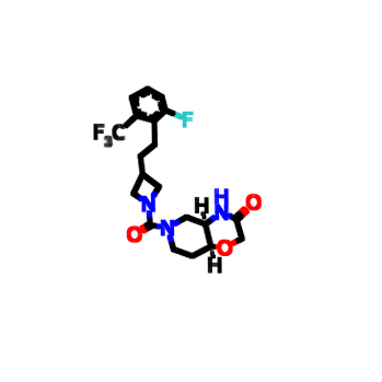 O=C1CO[C@H]2CCN(C(=O)N3CC(CCc4c(F)cccc4C(F)(F)F)C3)C[C@H]2N1